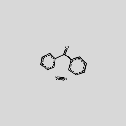 N#N.O=C(c1ccccc1)c1ccccc1